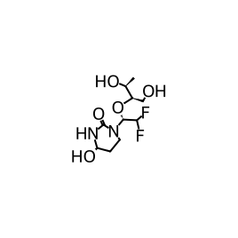 C[C@H](O)[C@@H](CO)O[C@H](C(F)F)N1CC[C@@H](O)NC1=O